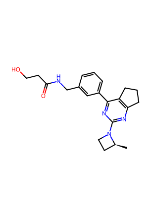 C[C@H]1CCN1c1nc2c(c(-c3cccc(CNC(=O)CCO)c3)n1)CCC2